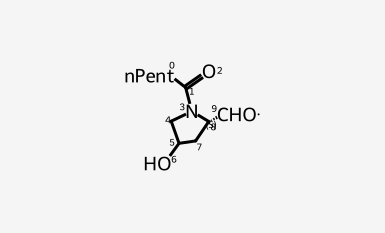 CCCCCC(=O)N1CC(O)C[C@H]1[C]=O